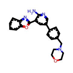 Nc1ncc(-c2ccc(CN3CCOCC3)cc2)cc1-c1nc2ccccc2o1